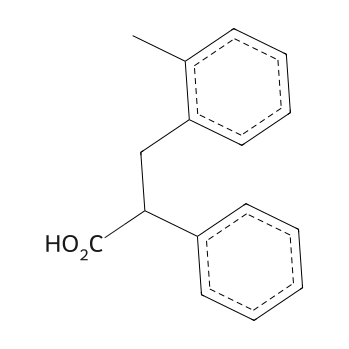 Cc1ccccc1CC(C(=O)O)c1ccccc1